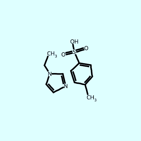 CCn1ccnc1.Cc1ccc(S(=O)(=O)O)cc1